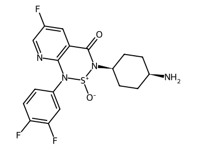 N[C@H]1CC[C@@H](N2C(=O)c3cc(F)cnc3N(c3ccc(F)c(F)c3)[S+]2[O-])CC1